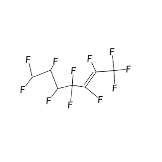 FC(=C(F)C(F)(F)C(F)C(F)C(F)F)C(F)(F)F